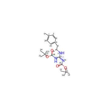 Cc1ccc(CCN/C(=N/C(=O)OC(C)(C)C)NC(=O)OC(C)(C)C)cc1